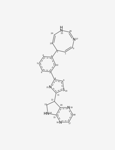 C1=C\C(c2cccc(-c3csc(C4CNc5nccnc54)n3)c2)/C=C\N\C=N/1